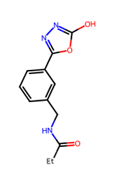 CCC(=O)NCc1cccc(-c2nnc(O)o2)c1